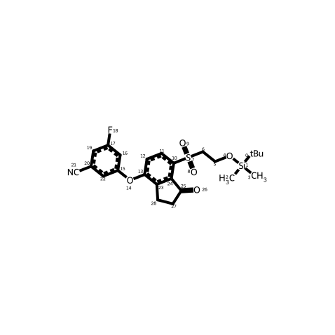 CC(C)(C)[Si](C)(C)OCCS(=O)(=O)c1ccc(Oc2cc(F)cc(C#N)c2)c2c1C(=O)CC2